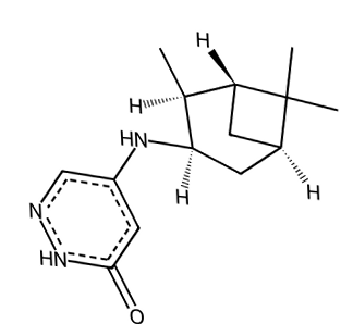 C[C@H]1[C@H]2C[C@H](C[C@H]1Nc1cn[nH]c(=O)c1)C2(C)C